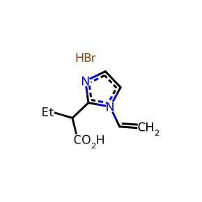 Br.C=Cn1ccnc1C(CC)C(=O)O